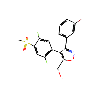 CS(=O)(=O)c1cc(F)c(-c2c(-c3cccc(Br)c3)noc2CO)cc1F